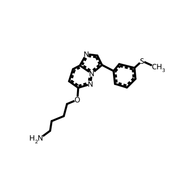 CSc1cccc(-c2cnc3ccc(OCCCCN)nn23)c1